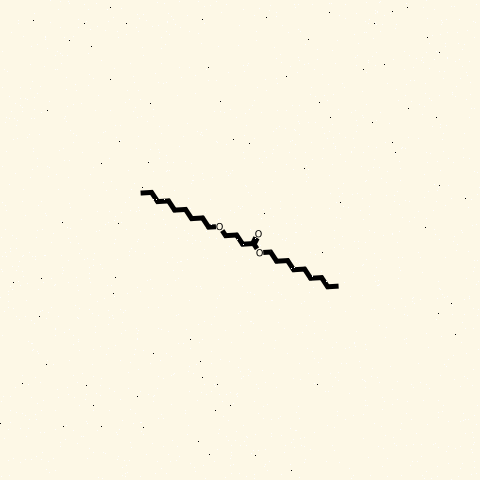 CCCCCCCCCOCCCC(=O)OCCCCCCCCC